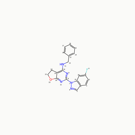 Fc1ccc2cnn(-c3nc(NCc4ccccc4)c4c(n3)OCC4)c2c1